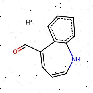 O=CC1=CC=CNc2ccccc21.[H+]